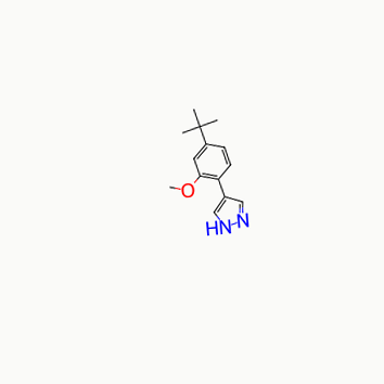 COc1cc(C(C)(C)C)ccc1-c1cn[nH]c1